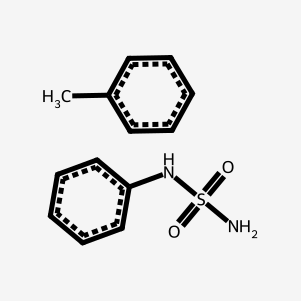 Cc1ccccc1.NS(=O)(=O)Nc1ccccc1